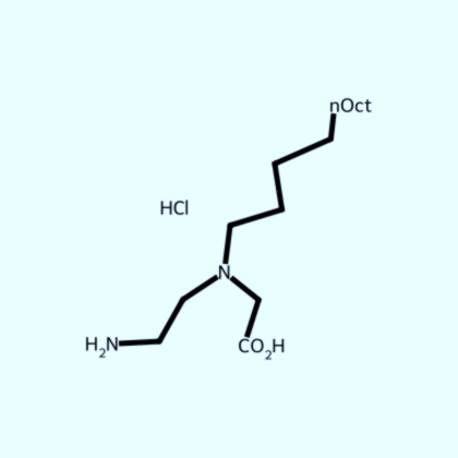 CCCCCCCCCCCCN(CCN)CC(=O)O.Cl